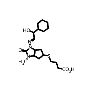 CN1C(=O)N(N=CC(O)C2CCCCC2)C2CC(SCCCC(=O)O)CC21